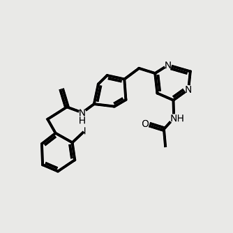 C=C(Cc1ccccc1I)Nc1ccc(Cc2cc(NC(C)=O)ncn2)cc1